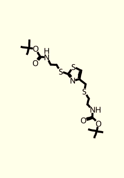 CC(C)(C)OC(=O)NCCSCc1csc(SCCNC(=O)OC(C)(C)C)n1